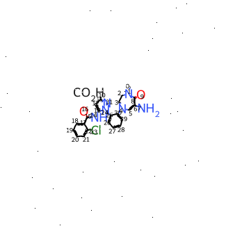 CN1CC=NC=C(N)C1=O.O=C(O)c1cc(NC(=O)c2ccccc2Cl)n(-c2ccccc2)n1